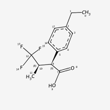 CCc1ccc([C@@H](C(=O)O)[C@@H](C)C(F)(F)F)cc1